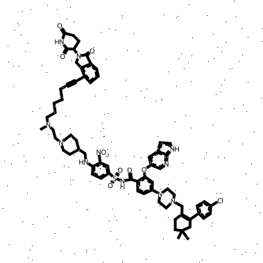 CN(CCCCCC#Cc1cccc2c1CN(C1CCC(=O)NC1=O)C2=O)CCN1CCC(CNc2ccc(S(=O)(=O)NC(=O)c3ccc(N4CCN(CC5=C(c6ccc(Cl)cc6)CC(C)(C)CC5)CC4)cc3Oc3cnc4[nH]ccc4c3)cc2[N+](=O)[O-])CC1